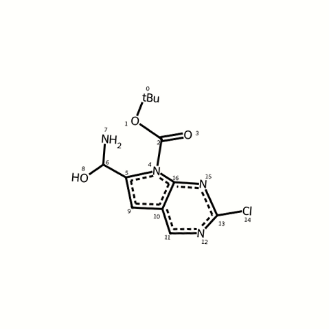 CC(C)(C)OC(=O)n1c(C(N)O)cc2cnc(Cl)nc21